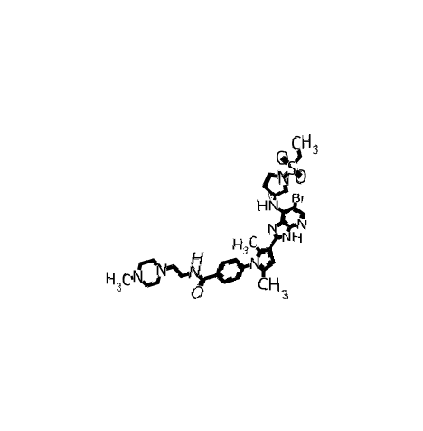 CCS(=O)(=O)N1CC[C@H](Nc2c(Br)cnc3[nH]c(-c4cc(C)n(-c5ccc(C(=O)NCCN6CCN(C)CC6)cc5)c4C)nc23)C1